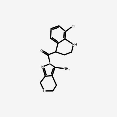 Nc1c2c(nn1C(=O)C1CCNc3c(Cl)cccc31)COCC2